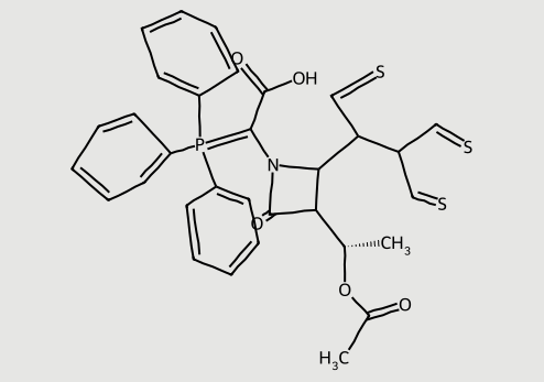 CC(=O)O[C@@H](C)C1C(=O)N(C(C(=O)O)=P(c2ccccc2)(c2ccccc2)c2ccccc2)C1C(C=S)C(C=S)C=S